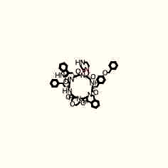 CN1C(=O)[C@@H](Cc2c[nH]c3ccccc23)NC(=O)[C@@H](CCc2ccccc2)NC(=O)[C@@H]2COCCN2C(=O)[C@@H]2Cc3ccccc3CN2C(=O)[C@H](Cc2ccc(OCc3ccccc3)cc2)NC(=O)[C@@H]1CN1CCNCC1